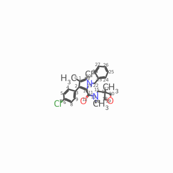 Cc1c(-c2ccc(Cl)cc2)c(C(=O)N(C)CC2(C)COC2)n(Cc2ccccc2)c1C(F)(F)F